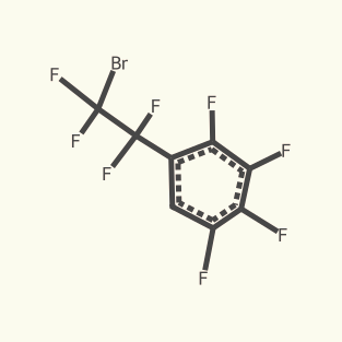 Fc1cc(C(F)(F)C(F)(F)Br)c(F)c(F)c1F